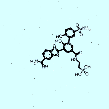 N=C(N)c1ccc2[nH]c(-c3cc(C(=O)NCCP(=O)(O)O)cc(-c4cc(S(N)(=O)=O)ccc4O)c3O)nc2c1